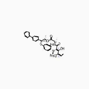 C=N/C(C(=O)N[C@@H](C)C(=O)O[C@@H](C)[C@H](Oc1ccccc1)c1ccc(-c2ccccc2)cc1)=C(O)\C(=C/C)OC